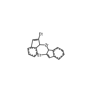 CCC1=Cc2ccccc2[CH]1[Zr][CH]1C(CC)=Cc2ccccc21